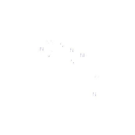 O=C1NCC[C@@]12Cc1cnc(Nc3ccc(OCCN4CCCCC4)cc3)nc1N(C1CCCC1)C2=O